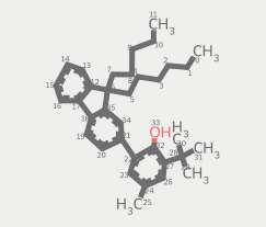 CCCCCCC1(CCCCC)c2ccccc2-c2ccc(-c3cc(C)cc(C(C)(C)C)c3O)cc21